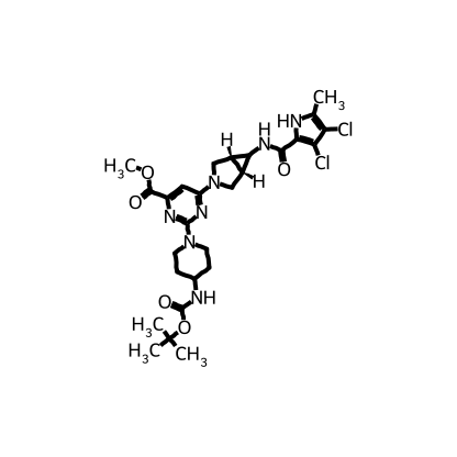 COC(=O)c1cc(N2C[C@@H]3C(NC(=O)c4[nH]c(C)c(Cl)c4Cl)[C@@H]3C2)nc(N2CCC(NC(=O)OC(C)(C)C)CC2)n1